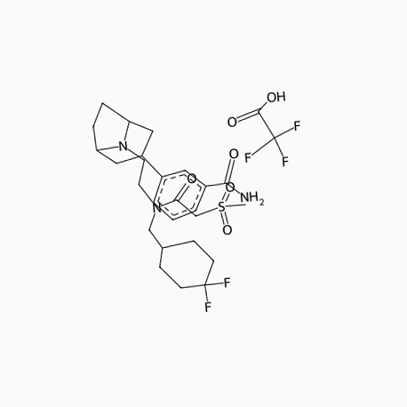 CS(=O)(=O)CC(=O)N(CCN1C2CCC1CC(c1cccc(C(N)=O)c1)C2)CC1CCC(F)(F)CC1.O=C(O)C(F)(F)F